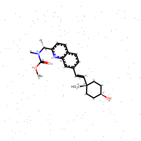 C[C@H](c1ccc2ccc(/C=C/[C@]3(C(=O)O)CC[C@@H](O)CC3)cc2n1)N(C)C(=O)OC(C)(C)C